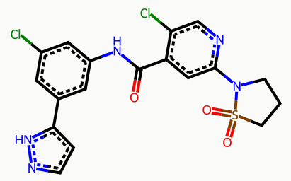 O=C(Nc1cc(Cl)cc(-c2ccn[nH]2)c1)c1cc(N2CCCS2(=O)=O)ncc1Cl